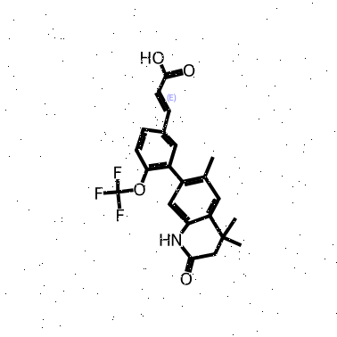 Cc1cc2c(cc1-c1cc(/C=C/C(=O)O)ccc1OC(F)(F)F)NC(=O)CC2(C)C